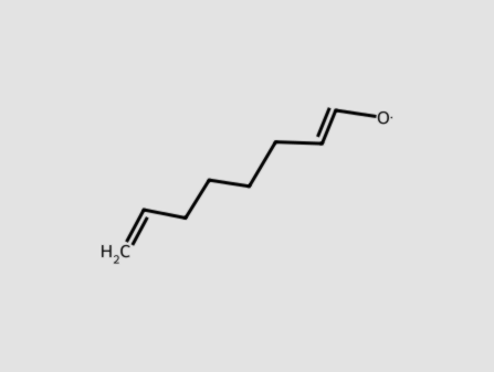 C=CCCCCC=C[O]